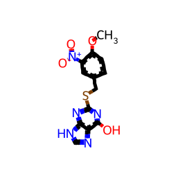 COc1ccc(CSc2nc(O)c3nc[nH]c3n2)cc1[N+](=O)[O-]